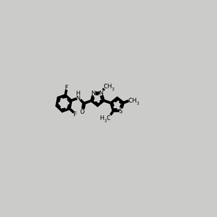 Cc1cc(-c2cc(C(=O)Nc3c(F)cccc3F)nn2C)c(C)s1